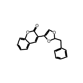 O=c1oc2c[c]ccc2cc1C1=COC(Cc2ccccc2)O1